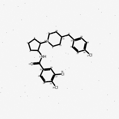 O=C(NC1CCCC1N1CCC(Cc2ccc(Cl)cc2)CC1)c1ccc(Cl)c(Cl)c1